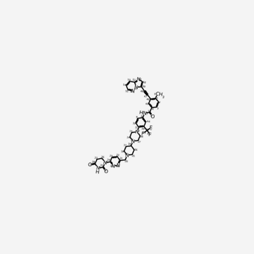 Cc1ccc(C(=O)Nc2ccc(N3CCN(C4CCN(Cc5ccc(N6CCC(=O)NC6=O)nn5)CC4)CC3)c(C(F)(F)F)c2)cc1C#Cc1cnc2cccnn12